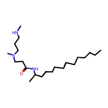 CCCCCCCCCCCCC(C)NC(=O)CCN(C)CCCNC